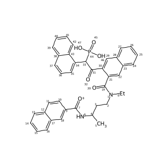 CCN(CCC(C)NC(=O)c1ccc2ccccc2c1)C(=O)c1cc2ccccc2cc1C(=O)C(c1cccc2ccccc12)P(=O)(O)O